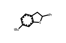 CC(C)C1Cc2ccc(C(C)(C)C)cc2S1